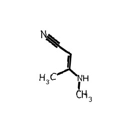 CN/C(C)=C/C#N